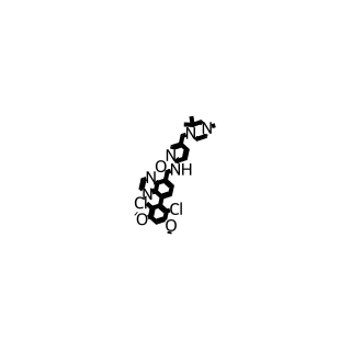 COc1cc(OC)c(Cl)c(-c2ccc(C(=O)Nc3ccc(CN4CCN(C)CC4(C)C)cn3)c3nccnc23)c1Cl